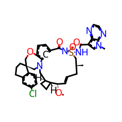 CO[C@H]1/C=C/C[C@H](C)C[S@@](=O)(NC(=O)c2cn(C)c3nccnc23)=NC(=O)c2ccc3c(c2)N(C[C@@H]2CC[C@H]21)C[C@@]1(CCCc2cc(Cl)ccc21)CO3